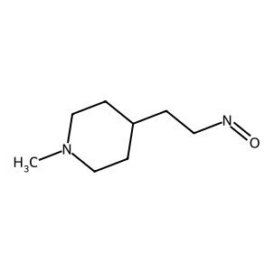 CN1CCC(CCN=O)CC1